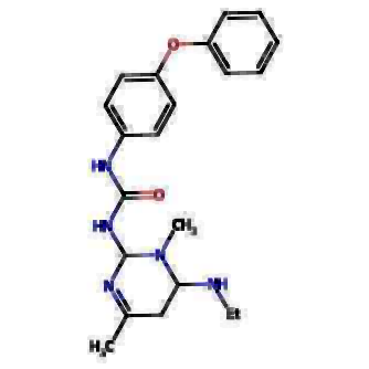 CCNC1CC(C)=NC(NC(=O)Nc2ccc(Oc3ccccc3)cc2)N1C